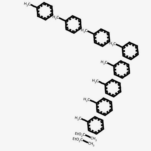 CCOC(C)=O.CCOC(C)=O.Cc1ccccc1.Cc1ccccc1.Cc1ccccc1.Cc1ccccc1.Cc1ccccc1.Cc1ccccc1.Cc1ccccc1.Cc1ccccc1